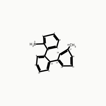 Bc1ccccc1-c1ccccc1-c1cccc(C)c1